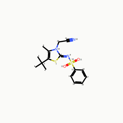 Cc1c(C(C)(C)C)s/c(=N\S(=O)(=O)c2ccccc2)n1CC#N